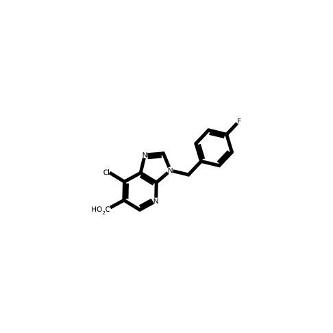 O=C(O)c1cnc2c(ncn2Cc2ccc(F)cc2)c1Cl